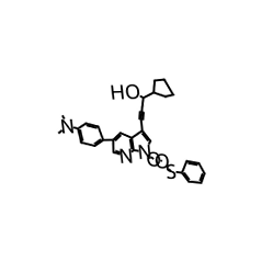 CN(C)c1ccc(-c2cnc3c(c2)c(C#CC(O)C2CCCC2)cn3OOSc2ccccc2)cc1